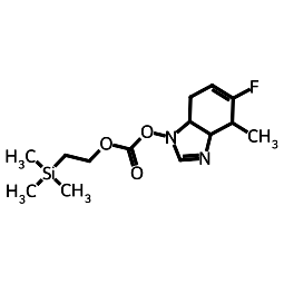 CC1C(F)=CCC2C1N=CN2OC(=O)OCC[Si](C)(C)C